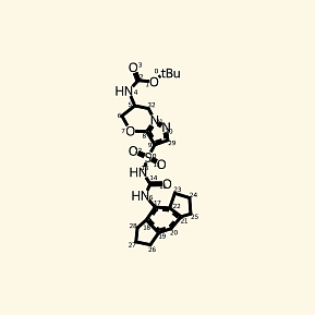 CC(C)(C)OC(=O)NC1COc2c(S(=O)(=O)NC(=O)Nc3c4c(cc5c3CCC5)CCC4)cnn2C1